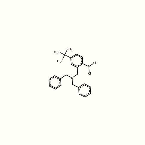 CC(C)(C)c1ccc(P(Cl)Cl)c(CN(Cc2ccccc2)Cc2ccccc2)c1